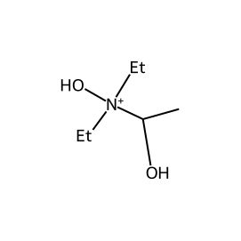 CC[N+](O)(CC)C(C)O